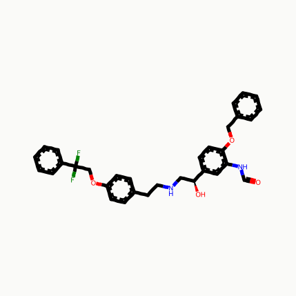 O=CNc1cc([C@@H](O)CNCCc2ccc(OCC(F)(F)c3ccccc3)cc2)ccc1OCc1ccccc1